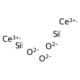 [Ce+3].[Ce+3].[O-2].[O-2].[O-2].[Si].[Si]